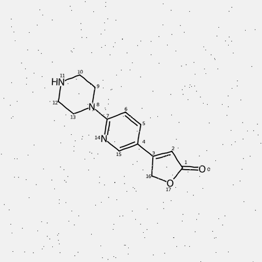 O=C1C=C(c2ccc(N3CCNCC3)nc2)CO1